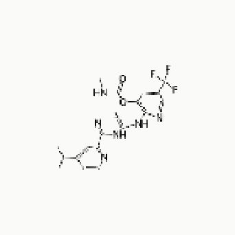 CNC(=O)Oc1cc(C(F)(F)F)cnc1NC(=S)NC(=N)c1cc(C(C)C)ccn1